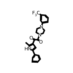 Cc1[nH]c(-c2ccccc2)cc1C(=O)C(=O)N1CCN(c2cccc(C(F)(F)F)c2)CC1